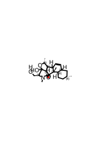 C[C@@H]1CC[C@@H]2[C@H](C=C[C@H]3[C@@H]4[C@@H](C)O[C@@]5(O)[C@H](CO)N(C)C(=O)[C@@]45C(=O)[C@@]23C)C1